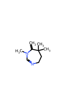 C=C1N(C)C=NCCC1(C)C